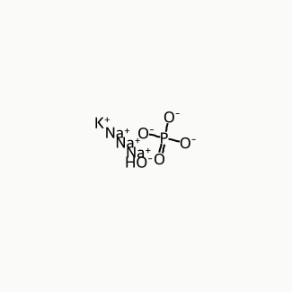 O=P([O-])([O-])[O-].[K+].[Na+].[Na+].[Na+].[OH-]